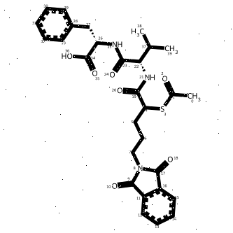 CC(=O)SC(CCCN1C(=O)c2ccccc2C1=O)C(=O)N[C@H](C(=O)N[C@@H](Cc1ccccc1)C(=O)O)C(C)C